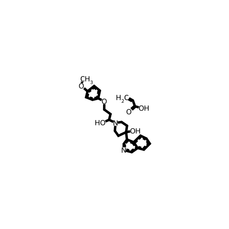 C=CC(=O)O.COc1ccc(OCCC(O)N2CCC(O)(c3cncc4ccccc34)CC2)cc1